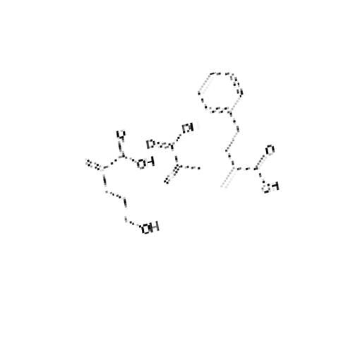 C=C(C)C(=O)O.C=C(CCCO)C(=O)O.C=C(CCc1ccccc1)C(=O)O